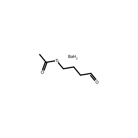 C[C](=O)[Ti][CH2]CCC=O.[BaH2]